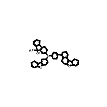 CC1(C)c2ccccc2-c2ccc(N(c3ccc(-c4cccc5c4ccc4oc6ccccc6c45)cc3)c3ccc4oc5ccccc5c4c3)cc21